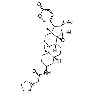 CC(=O)O[C@H]1[C@H]2O[C@]23[C@@H]2CC[C@@H]4C[C@@H](NC(=O)CN5CCCC5)CC[C@]4(C)[C@H]2CC[C@]3(C)[C@H]1c1ccc(=O)oc1